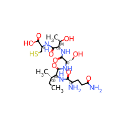 CC[C@H](C)[C@H](NC(=O)[C@@H](N)CCC(N)=O)C(=O)N[C@@H](CO)C(=O)N[C@H](C(=O)N[C@@H](CS)C(=O)O)[C@@H](C)O